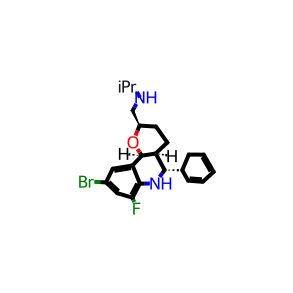 CC(C)NC[C@H]1CC[C@@H]2[C@H](O1)c1cc(Br)cc(F)c1N[C@H]2C1C=CC=CC1